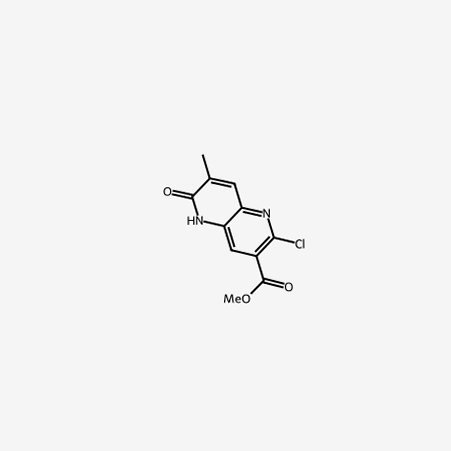 COC(=O)c1cc2[nH]c(=O)c(C)cc2nc1Cl